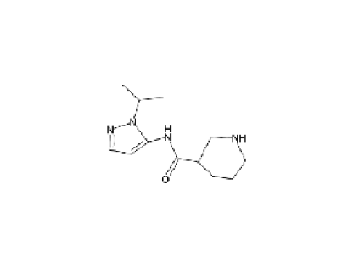 CC(C)n1nccc1NC(=O)C1CCCNC1